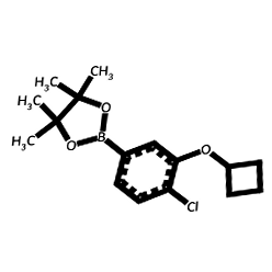 CC1(C)OB(c2ccc(Cl)c(OC3CCC3)c2)OC1(C)C